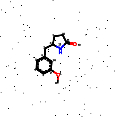 COc1cccc(CC2CCC(=O)N2)c1